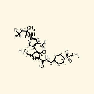 CCn1nc(C(=O)NCC2CCC(S(C)(=O)=O)CC2)c(Cl)c1-c1cnc(NC(C)(C)CC(F)(F)F)cc1C(F)F